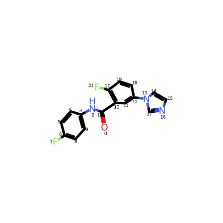 O=C(Nc1ccc(F)cc1)c1cc(-n2ccnc2)ccc1F